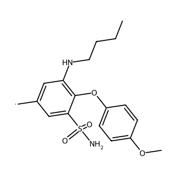 [CH2]c1cc(NCCCC)c(Oc2ccc(OC)cc2)c(S(N)(=O)=O)c1